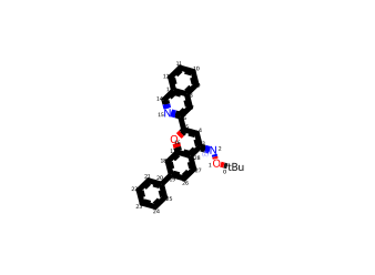 CC(C)(C)O/N=c1/cc(-c2cc3ccccc3cn2)oc2cc(-c3ccccc3)ccc12